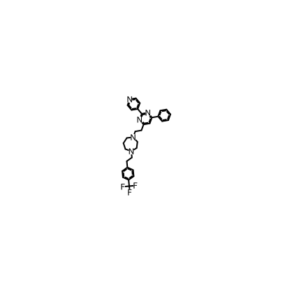 FC(F)(F)c1ccc(CCN2CCCN(CCc3cc(-c4ccccc4)nc(-c4ccncc4)n3)CC2)cc1